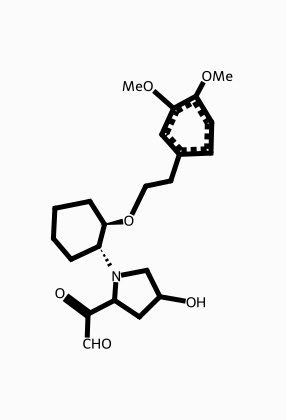 COc1ccc(CCO[C@@H]2CCCC[C@H]2N2CC(O)CC2C(=O)C=O)cc1OC